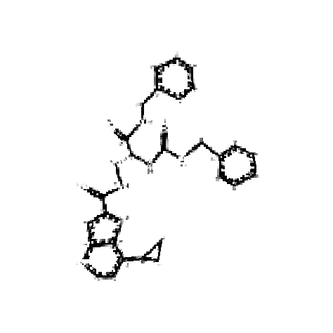 O=C(N[C@H](CNC(=O)c1cc2nccc(C3CC3)c2s1)C(=O)OCc1ccccc1)OCc1ccccc1